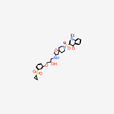 CCn1cc(S(=O)(=O)N2CCC3(CC2)C[C@@H](NCC(O)COc2cccc(S(=O)(=O)C4CC4)c2)CO3)c(=O)c2ccccc21